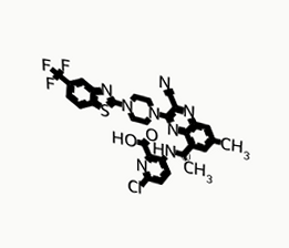 Cc1cc([C@@H](C)Nc2ccc(Cl)nc2C(=O)O)c2nc(N3CCN(c4nc5cc(C(F)(F)F)ccc5s4)CC3)c(C#N)nc2c1